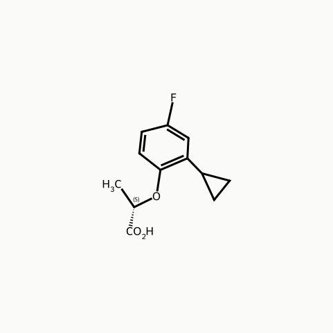 C[C@H](Oc1ccc(F)cc1C1CC1)C(=O)O